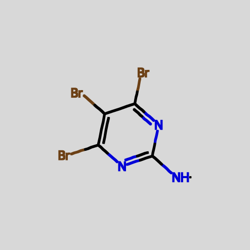 [NH]c1nc(Br)c(Br)c(Br)n1